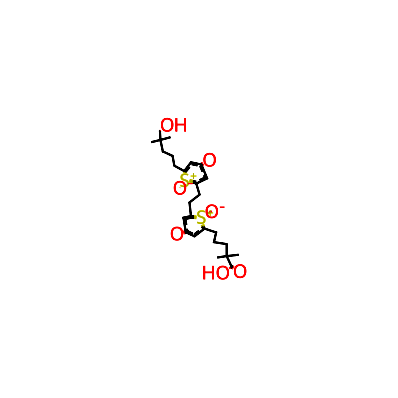 CC(C)(CO)CCCc1cc(=O)cc(CCc2cc(=O)cc(CCCC(C)(C)C(=O)O)[s+]2[O-])[s+]1[O-]